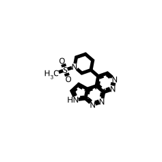 CS(=O)(=O)N1CCCC(c2cnnc3nnc4[nH]ccc4c23)C1